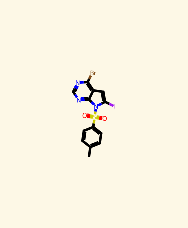 Cc1ccc(S(=O)(=O)n2c(I)cc3c(Br)ncnc32)cc1